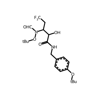 CC(C)(C)Oc1ccc(CNC(=O)C(O)C(CC(F)(F)F)N(C=O)OC(C)(C)C)cc1